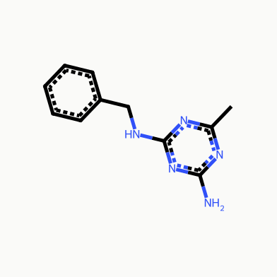 Cc1nc(N)nc(NCc2ccccc2)n1